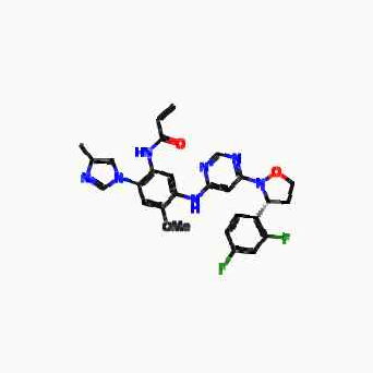 C=CC(=O)Nc1cc(Nc2cc(N3OCC[C@@H]3c3ccc(F)cc3F)ncn2)c(OC)cc1-n1cnc(C)c1